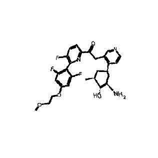 COCCOc1cc(F)c(-c2nc(C(=O)Cc3cnccc3[C@H]3C[C@@H](N)[C@H](O)[C@@H](C)C3)ccc2F)c(F)c1